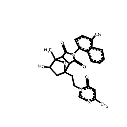 CC12OC(CCn3cnc(C(F)(F)F)cc3=O)(CC1O)C1C(=O)N(c3ccc(C#N)c4ccccc34)C(=O)C12